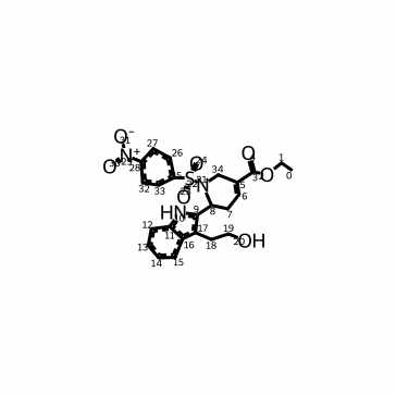 CCOC(=O)C1=CCC(c2[nH]c3ccccc3c2CCO)N(S(=O)(=O)c2ccc([N+](=O)[O-])cc2)C1